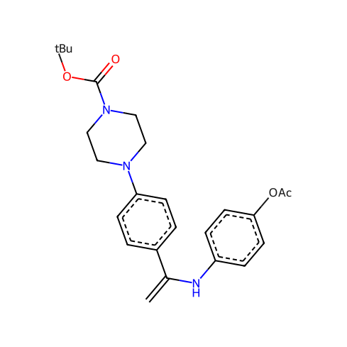 C=C(Nc1ccc(OC(C)=O)cc1)c1ccc(N2CCN(C(=O)OC(C)(C)C)CC2)cc1